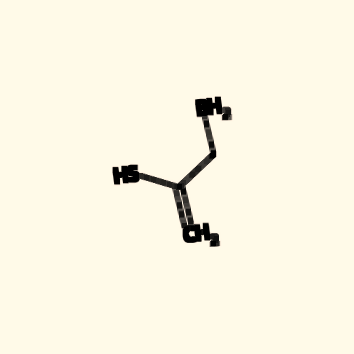 BCC(=C)S